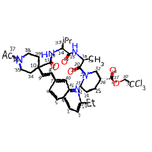 CCc1ccc2ccc(/C=C/C3(C(=O)NC(C(=O)N[C@@H](C)C(=O)N4CCC[C@@H](C(=O)OCC(Cl)(Cl)Cl)C4)C(C)C)CCN(C(C)=O)CC3)cc2n1